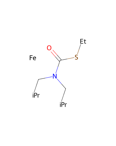 CCSC(=O)N(CC(C)C)CC(C)C.[Fe]